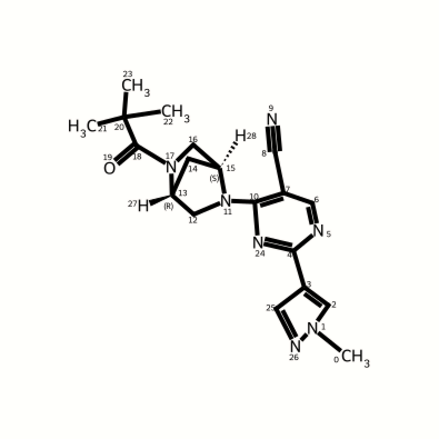 Cn1cc(-c2ncc(C#N)c(N3C[C@H]4C[C@H]3CN4C(=O)C(C)(C)C)n2)cn1